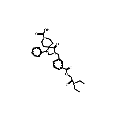 CCN(CC)C(=O)COC(=O)c1cccc(CN2CN(c3ccccc3)C3(CCN(C(=O)O)CC3)C2=O)c1